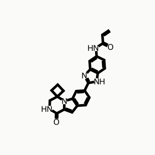 C=CC(=O)Nc1ccc2[nH]c(-c3ccc4cc5n(c4c3)C3(CCC3)CNC5=O)nc2c1